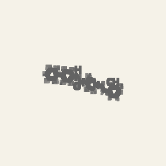 Cc1ccccc1CCN1CC2CC1CN2C(=O)Nc1ccc(-c2ccccc2)cc1